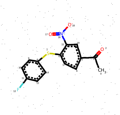 CC(=O)c1ccc(Sc2ccc(F)cc2)c([N+](=O)[O-])c1